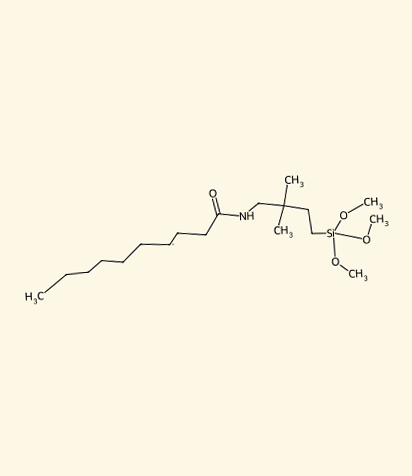 CCCCCC[CH]CCC(=O)NCC(C)(C)CC[Si](OC)(OC)OC